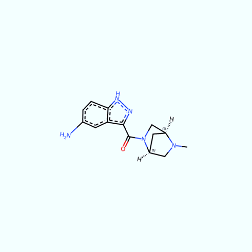 CN1C[C@@H]2C[C@H]1CN2C(=O)c1n[nH]c2ccc(N)cc12